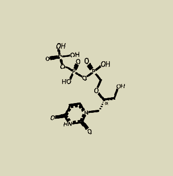 O=c1ccn(C[C@@H](CO)OCP(=O)(O)OP(=O)(O)OP(=O)(O)O)c(=O)[nH]1